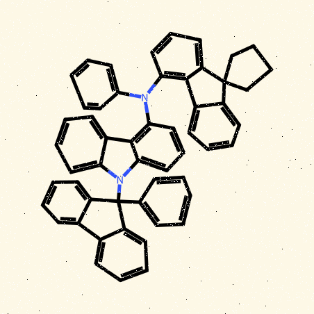 c1ccc(N(c2cccc3c2-c2ccccc2C32CCCC2)c2cccc3c2c2ccccc2n3C2(c3ccccc3)c3ccccc3-c3ccccc32)cc1